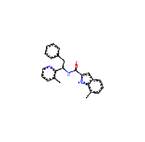 Cc1cccnc1C(Cc1ccccc1)NC(=O)c1cc2cccc(C)c2[nH]1